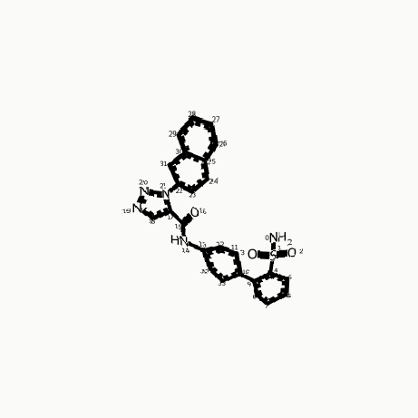 NS(=O)(=O)c1ccccc1-c1ccc(NC(=O)c2cnnn2-c2ccc3ccccc3c2)cc1